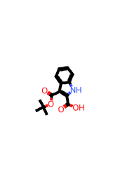 CC(C)(C)OC(=O)c1c(C(=O)O)[nH]c2ccccc12